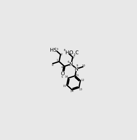 CC(CS)C(=O)N(CC(=O)O)N(C)c1ccccc1